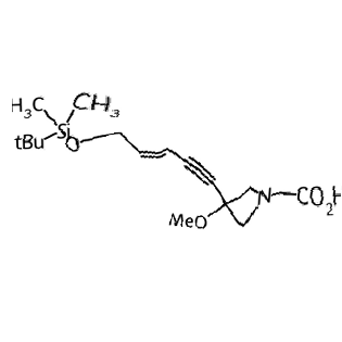 COC1(C#C/C=C/CO[Si](C)(C)C(C)(C)C)CN(C(=O)O)C1